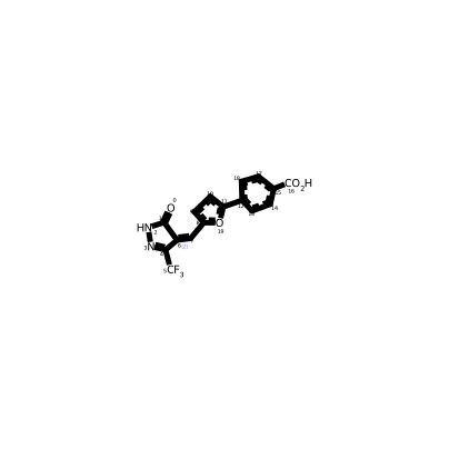 O=C1NN=C(C(F)(F)F)/C1=C/c1ccc(-c2ccc(C(=O)O)cc2)o1